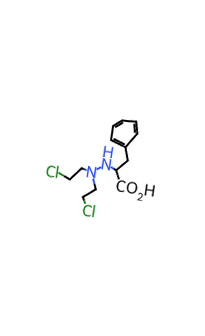 O=C(O)C(Cc1ccccc1)NN(CCCl)CCCl